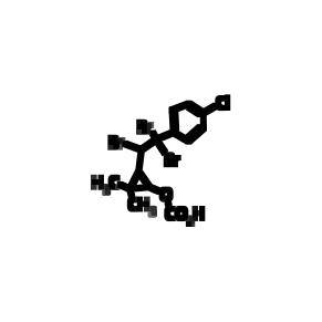 CC1(C)C(OC(=O)O)C1C(Br)C(Br)(Br)c1ccc(Cl)cc1